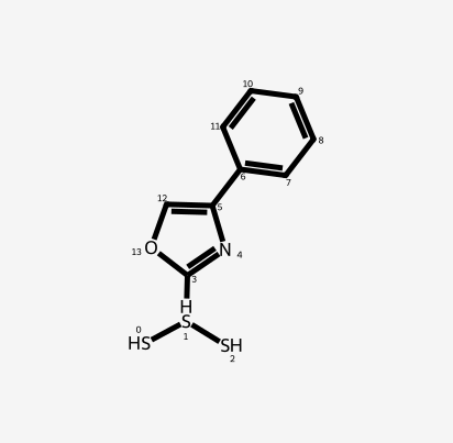 S[SH](S)c1nc(-c2ccccc2)co1